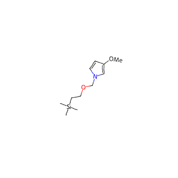 COc1ccn(COCC[Si](C)(C)C)c1